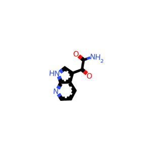 NC(=O)C(=O)c1c[nH]c2ncccc12